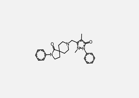 Cc1c(CN2CCC3(CC2)CCN(c2ccccc2)C3=O)n(C)n(-c2ccccc2)c1=O